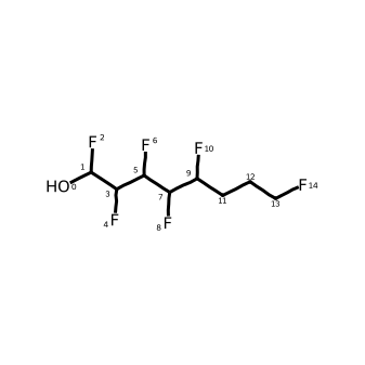 OC(F)C(F)C(F)C(F)C(F)CCCF